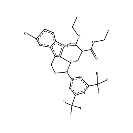 CCOC(=O)C(C[C@H]1c2[nH]c3ccc(Cl)cc3c2CCN1c1nc(C(F)(F)F)nc(C(F)(F)F)n1)C(=O)OCC